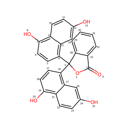 O=C1OC(c2ccc(O)c3ccc(O)cc23)(c2ccc(O)c3ccc(O)cc23)c2ccccc21